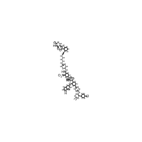 CC1(C)CCC(CN2CCN(c3ccc(C(=O)NS(=O)(=O)c4ccc(NCC5CCN(CCCCCC#Cc6cccc7c6C(=O)N(C6CCC(=O)NC6=O)C7)CC5)c([N+](=O)[O-])c4)c(Oc4cnc5[nH]ccc5c4)c3)CC2)=C(c2ccc(Cl)cc2)C1